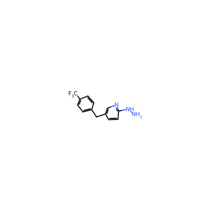 NNc1ccc(Cc2ccc(C(F)(F)F)cc2)cn1